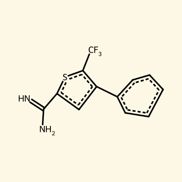 N=C(N)c1cc(-c2ccccc2)c(C(F)(F)F)s1